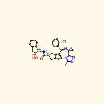 Cc1nnc2n1-c1sc3c(c1C(c1ccccc1Cl)=NC21CC1)C[C@H](C(=O)N[C@@H]1c2ccccc2C[C@@H]1O)C3